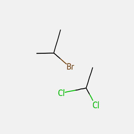 CC(C)Br.CC(Cl)Cl